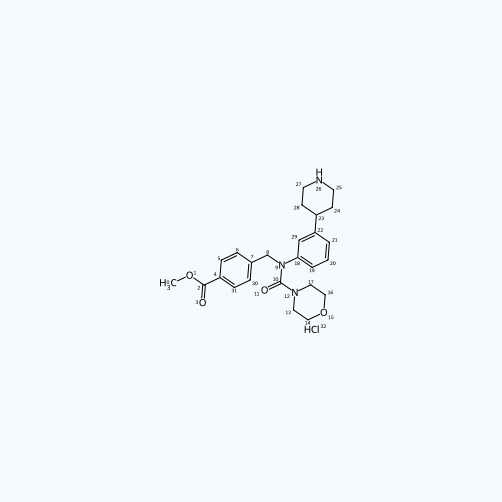 COC(=O)c1ccc(CN(C(=O)N2CCOCC2)c2cccc(C3CCNCC3)c2)cc1.Cl